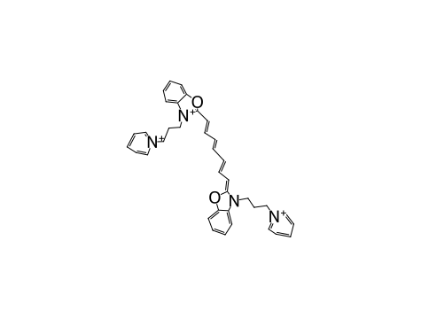 C(/C=C/C=C/C=C/c1oc2ccccc2[n+]1CCC[n+]1ccccc1)=C1/Oc2ccccc2N1CCC[n+]1ccccc1